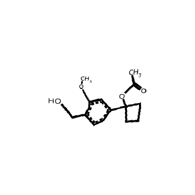 COc1cc(C2(OC(C)=O)CCC2)ccc1CO